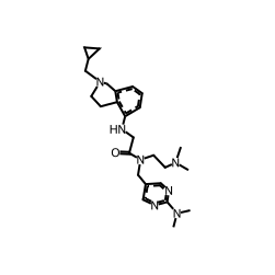 CN(C)CCN(Cc1cnc(N(C)C)nc1)C(=O)CNc1cccc2c1CCN(CC1CC1)C2